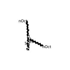 CCCCCCCCC=CCCCCCCCCOCC(CNC(=S)OCCN(C)C)OCCCCCCCCC=CCCCCCCCC